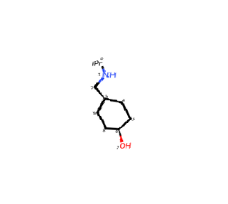 CC(C)NC[C@H]1CC[C@@H](O)CC1